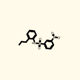 CCCc1ccccc1NS(=O)(=O)c1cccc([N+](=O)[O-])c1